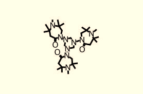 CN1C(C)(C)CC(=O)N(N2CN(N3CC(C)(C)N(C)C(C)(C)CC3=O)CN(N3CC(C)(C)N(C)C(C)(C)CC3=O)C2)CC1(C)C